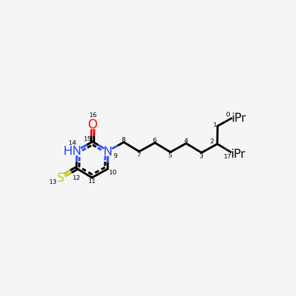 CC(C)CC(CCCCCCn1ccc(=S)[nH]c1=O)C(C)C